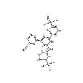 N#Cc1cncc(-c2nc(Nc3ccnc(C(F)(F)F)c3)nc(-c3cccc(C(F)(F)F)n3)n2)c1